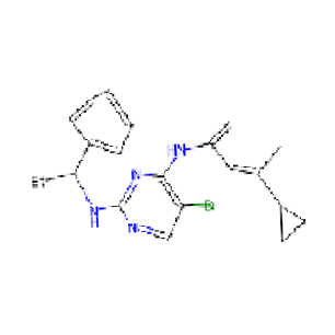 C=C(/C=C(\C)C1CC1)Nc1nc(NC(CC)c2ccccc2)ncc1Br